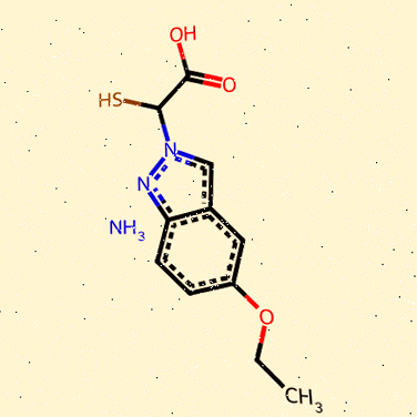 CCOc1ccc2nn(C(S)C(=O)O)cc2c1.N